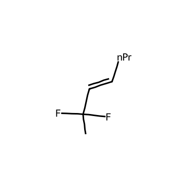 C[CH]CC=CC(C)(F)F